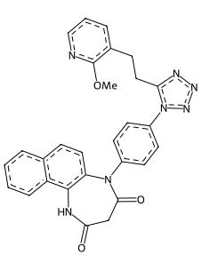 COc1ncccc1CCc1nnnn1-c1ccc(N2C(=O)CC(=O)Nc3c2ccc2ccccc32)cc1